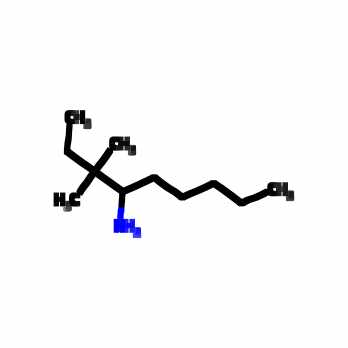 CCCCCC(N)C(C)(C)CC